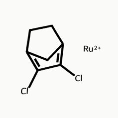 ClC1=C2CCC(=C1Cl)C2.[Ru+2]